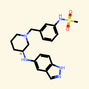 CS(=O)(=O)Nc1cccc(CN2CCC[C@H](Nc3ccc4[nH]ncc4c3)C2)c1